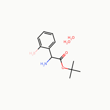 Bc1ccccc1C(N)C(=O)OC(C)(C)C.O.O